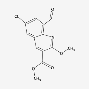 COC(=O)c1cc2cc(Cl)cc(C=O)c2nc1OC